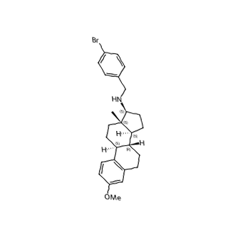 COc1ccc2c(c1)CC[C@@H]1[C@@H]2CC[C@]2(C)[C@@H](NCc3ccc(Br)cc3)CC[C@@H]12